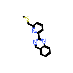 CSCc1cccc(-c2ncc3ccccc3n2)n1